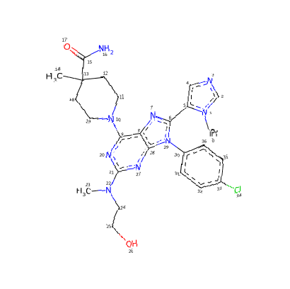 CC(C)n1cncc1-c1nc2c(N3CCC(C)(C(N)=O)CC3)nc(N(C)CCO)nc2n1-c1ccc(Cl)cc1